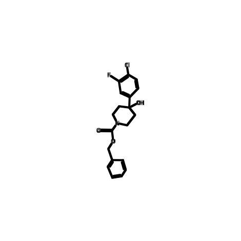 O=C(OCc1ccccc1)N1CCC(O)(c2ccc(Cl)c(F)c2)CC1